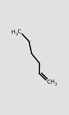 C=CCC[CH]C